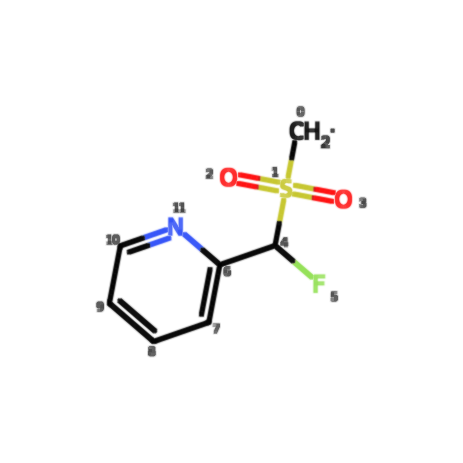 [CH2]S(=O)(=O)C(F)c1ccccn1